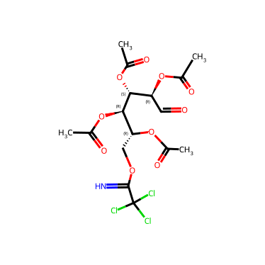 CC(=O)O[C@@H]([C@H](OC(C)=O)[C@@H](COC(=N)C(Cl)(Cl)Cl)OC(C)=O)[C@H](C=O)OC(C)=O